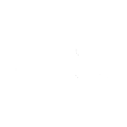 O=C(O)c1c[nH]c(-c2ccc(C(F)(F)F)cc2)n1